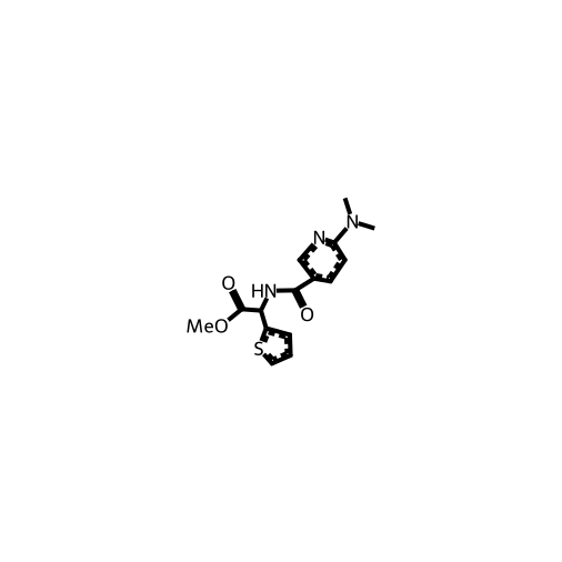 COC(=O)C(NC(=O)c1ccc(N(C)C)nc1)c1cccs1